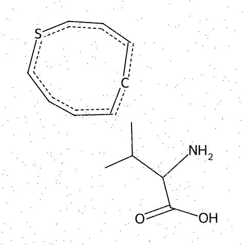 CC(C)C(N)C(=O)O.c1ccccsccc1